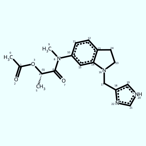 CC(=O)O[C@@H](C)C(=O)N(C)c1ccc2c(c1)N(Cc1c[nH]cn1)CC2